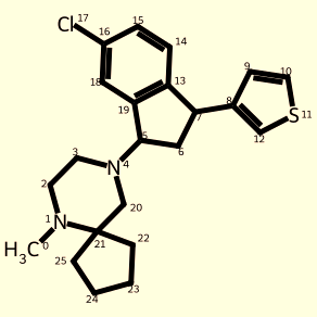 CN1CCN(C2CC(c3ccsc3)c3ccc(Cl)cc32)CC12CCCC2